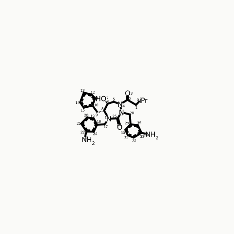 CC(C)CC(=O)N1C[C@@H](O)[C@@H](Cc2ccccc2)N(Cc2cccc(N)c2)C(=O)N1Cc1cccc(N)c1